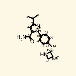 CC(C)c1cc(C(N)=O)n(-c2ccc(C[C@H]3NC[C@H]3F)cc2)n1